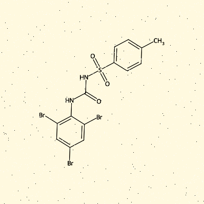 Cc1ccc(S(=O)(=O)NC(=O)Nc2c(Br)cc(Br)cc2Br)cc1